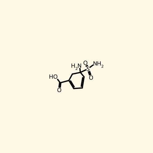 NC1(S(N)(=O)=O)C=CC=C(C(=O)O)C1